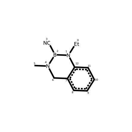 CCN1B(C#N)N(C)Cc2ccccc21